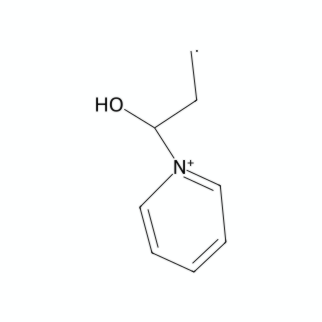 [CH2]CC(O)[n+]1ccccc1